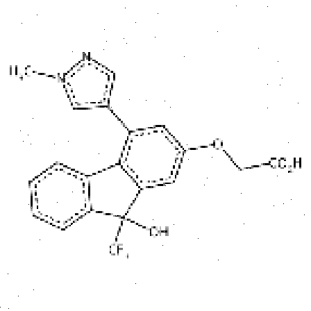 Cn1cc(-c2cc(OCC(=O)O)cc3c2-c2ccccc2C3(O)C(F)(F)F)cn1